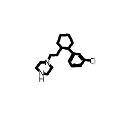 Clc1cccc(C2CCCCC2CCN2CCNCC2)c1